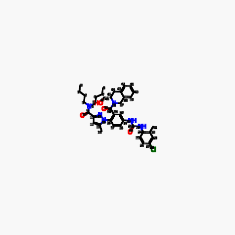 CCCCN(CCCC)C(=O)c1cc(C)n(-c2ccc(NC(=O)Nc3ccc(Cl)cc3C)cc2C(=O)N2Cc3ccccc3C[C@H]2CO)n1